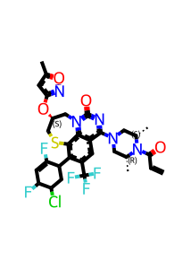 C=CC(=O)N1[C@H](C)CN(c2nc(=O)n3c4c(c(C5CC(Cl)C(F)C=C5F)c(C(F)(F)F)cc24)SC[C@@H](Oc2cc(C)on2)C3)C[C@@H]1C